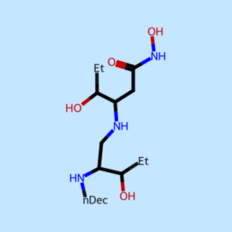 CCCCCCCCCCNC(CNC(CC(=O)NO)C(O)CC)C(O)CC